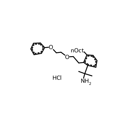 CCCCCCCCc1cccc(C(C)(C)N)c1CCOCCOc1ccccc1.Cl